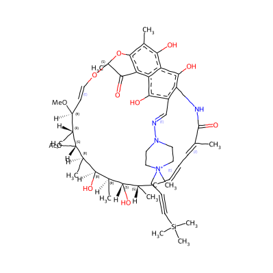 CO[C@H]1/C=C/O[C@@]2(C)Oc3c(C)c(O)c4c(O)c(c(/C=N/N5CC[N+](C)(CC#C[Si](C)(C)C)CC5)c(O)c4c3C2=O)NC(=O)/C(C)=C\C=C\C[C@H](C)[C@H](O)[C@@H](C)[C@@H](O)[C@@H](C)[C@H](OC(C)=O)[C@@H]1C